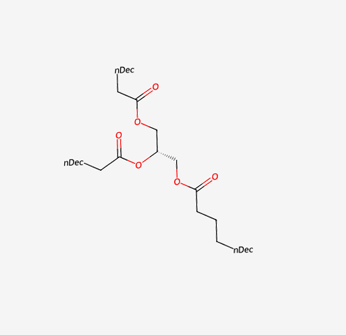 CCCCCCCCCCCCCC(=O)OC[C@@H](COC(=O)CCCCCCCCCCC)OC(=O)CCCCCCCCCCC